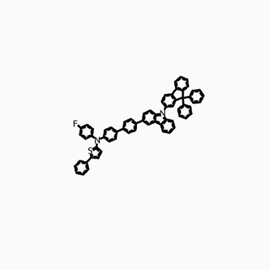 Fc1ccc(N(c2ccc(-c3ccc(-c4ccc5c(c4)c4ccccc4n5-c4ccc5c(c4)C(c4ccccc4)(c4ccccc4)c4ccccc4-5)cc3)cc2)c2ccc(-c3ccccc3)s2)cc1